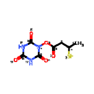 CC(S)CC(=O)On1c(=O)[nH]c(=O)[nH]c1=O